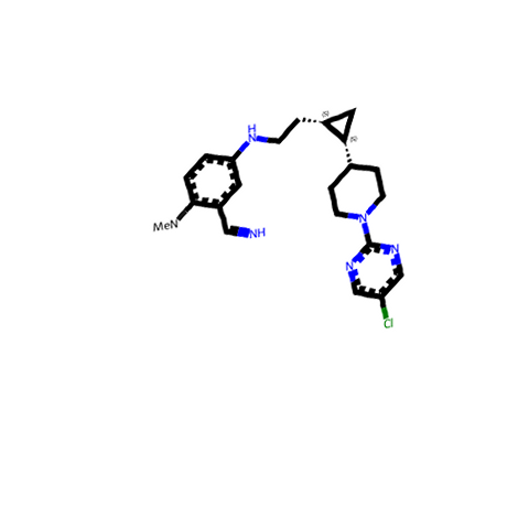 CNc1ccc(NCC[C@@H]2C[C@@H]2C2CCN(c3ncc(Cl)cn3)CC2)cc1C=N